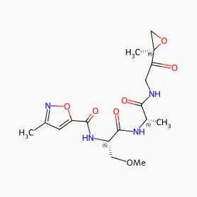 COC[C@H](NC(=O)c1cc(C)no1)C(=O)N[C@@H](C)C(=O)NCC(=O)[C@@]1(C)CO1